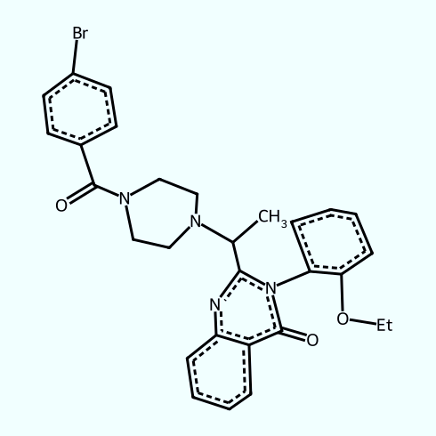 CCOc1ccccc1-n1c(C(C)N2CCN(C(=O)c3ccc(Br)cc3)CC2)nc2ccccc2c1=O